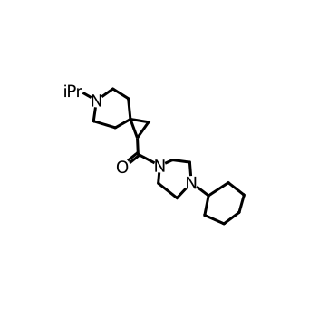 CC(C)N1CCC2(CC1)CC2C(=O)N1CCN(C2CCCCC2)CC1